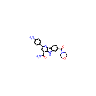 NC(=O)c1cc(-c2ccc(N)cc2)nc2c1[nH]c1cc(C(=O)N3CCOCC3)ccc12